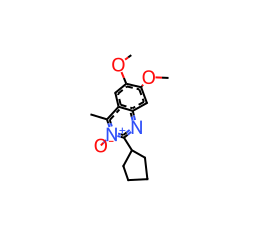 COc1cc2nc(C3CCCC3)[n+]([O-])c(C)c2cc1OC